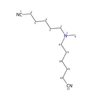 CN(CCCCCC#N)CCCCCC#N